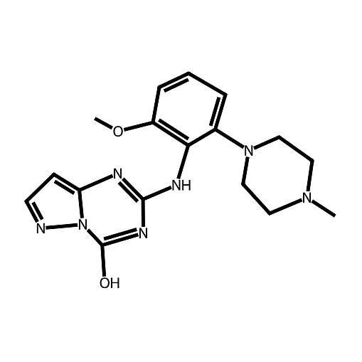 COc1cccc(N2CCN(C)CC2)c1Nc1nc(O)n2nccc2n1